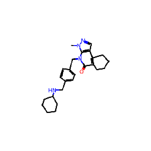 Cn1ncc2c3c(c(=O)n(Cc4ccc(CNC5CCCCC5)cc4)c21)CCCC3